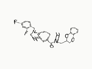 O=C(NCC1COc2ccccc2O1)c1ccc2c(c1)ncn2Cc1ccc(F)cc1F